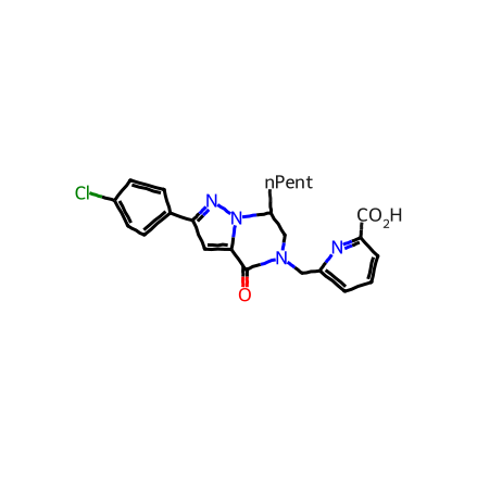 CCCCCC1CN(Cc2cccc(C(=O)O)n2)C(=O)c2cc(-c3ccc(Cl)cc3)nn21